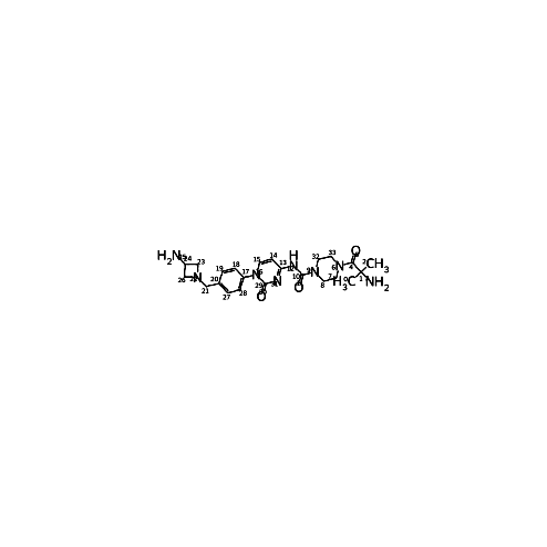 CC(C)(N)C(=O)N1CCN(C(=O)Nc2ccn(-c3ccc(CN4CC(N)C4)cc3)c(=O)n2)CC1